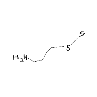 NCCS[S]